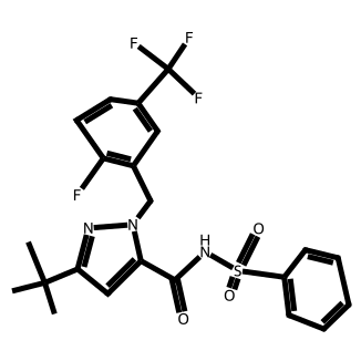 CC(C)(C)c1cc(C(=O)NS(=O)(=O)c2ccccc2)n(Cc2cc(C(F)(F)F)ccc2F)n1